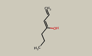 C=CC=C(O)CCC